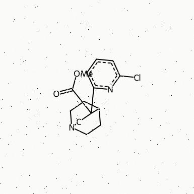 COC(=O)C1(c2cccc(Cl)n2)CN2CCC1CC2